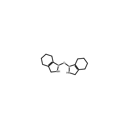 C1CCC2=C(C1)CNN2ON1NCC2=C1CCCC2